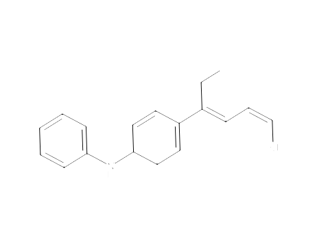 C/C=C\C=C(/CC)C1=CCC(Nc2ccccc2)C=C1